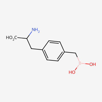 NC(Cc1ccc(CB(O)O)cc1)C(=O)O